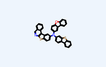 c1ccc2c(c1)cnc1sc3ccc(N(c4ccc5c(c4)sc4ccccc45)c4ccc5oc6ccccc6c5c4)cc3c12